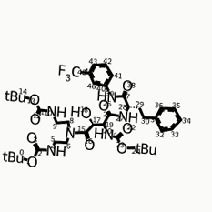 CC(C)(C)OC(=O)NCCN(CCNC(=O)OC(C)(C)C)C(=O)[C@@H](O)C(NC(=O)OC(C)(C)C)C(=O)N[C@@H](CCc1ccccc1)C(=O)Nc1cccc(C(F)(F)F)c1